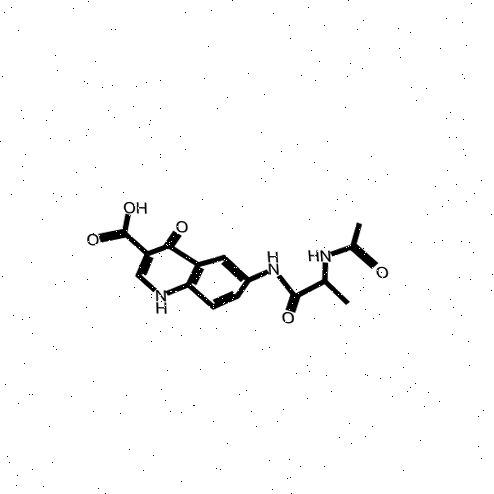 CC(=O)NC(C)C(=O)Nc1ccc2[nH]cc(C(=O)O)c(=O)c2c1